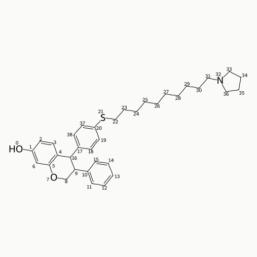 Oc1ccc2c(c1)OCC(c1ccccc1)C2c1ccc(SCCCCCCCCCCN2CCCC2)cc1